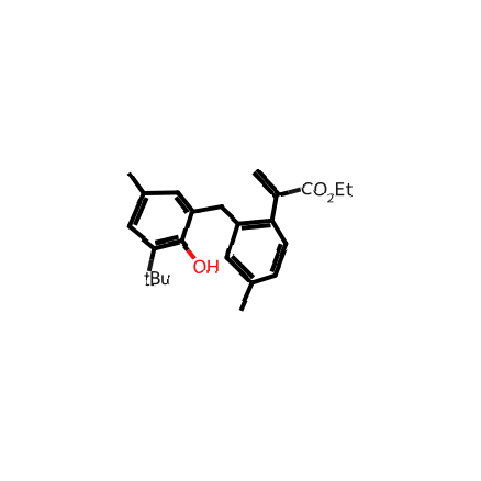 C=C(C(=O)OCC)c1ccc(C)cc1Cc1cc(C)cc(C(C)(C)C)c1O